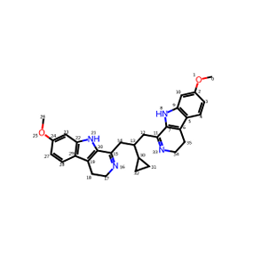 COc1ccc2c3c([nH]c2c1)C(CC(CC1=NCCc2c1[nH]c1cc(OC)ccc21)C1CC1)=NCC3